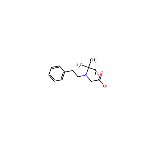 CC(C)(C)N(CCc1ccccc1)CC(=O)O